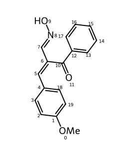 COc1ccc(C=C(C=NO)C(=O)c2ccccc2)cc1